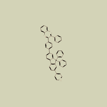 c1ccc(-c2nc3ccccc3nc2-c2ccc(-c3ccc4c(c3)C(c3ccccc3)(c3ccccc3)c3cc(-c5ccncc5)ccc3-4)cc2)cc1